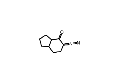 [N-]=[N+]=C1CCC2CCC[C]2C1=O